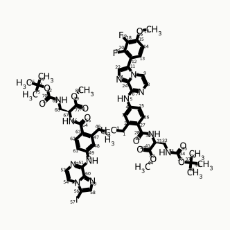 CCc1cc(Nc2nccn3c(-c4ccc(OC)c(F)c4F)cnc23)ccc1C(=O)N[C@@H](CNC(=O)OC(C)(C)C)C(=O)OC.CCc1cc(Nc2nccn3c(I)cnc23)ccc1C(=O)N[C@@H](CNC(=O)OC(C)(C)C)C(=O)OC